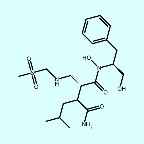 CC(C)CC(C(N)=O)[C@H](CNCS(C)(=O)=O)C(=O)N(O)[C@H](CO)Cc1ccccc1